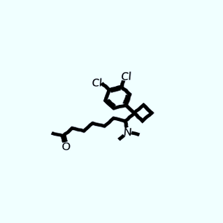 CC(=O)CCCCCC(N(C)C)C1(c2ccc(Cl)c(Cl)c2)CCC1